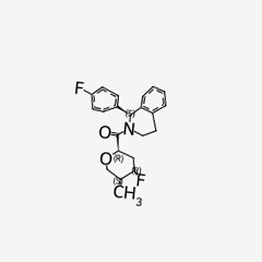 C[C@H]1CO[C@@H](C(=O)N2CCc3ccccc3[C@@H]2c2ccc(F)cc2)C[C@H]1F